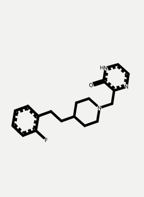 O=c1[nH]ccnc1CN1CCC(CCc2ccccc2F)CC1